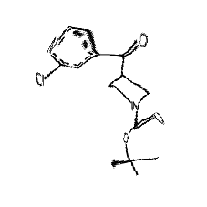 CC(C)(C)OC(=O)N1CC(C(=O)c2ccnc(Cl)c2)C1